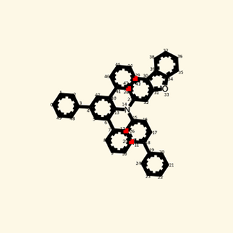 c1ccc(-c2cc(-c3ccccc3)c(N(c3ccc(-c4ccccc4)nc3)c3ccc4c(c3)oc3ccccc34)c(-c3ccccc3)c2)cc1